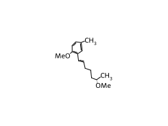 COc1ccc(C)cc1/C=C/CCC[C@H](C)OC